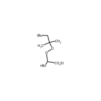 CCCCC(OOC(C)(C)CC(C)(C)C)C(=O)OCC